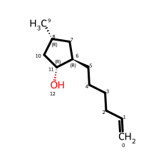 C=CCCCC[C@@H]1C[C@@H](C)C[C@H]1O